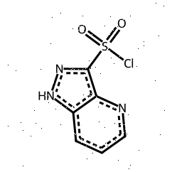 O=S(=O)(Cl)c1n[nH]c2cccnc12